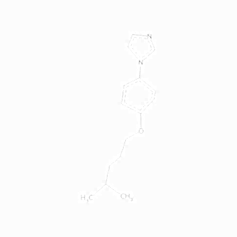 CC(C)CCCOc1ccc(-n2ccnc2)cc1